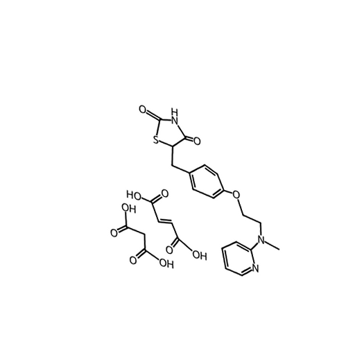 CN(CCOc1ccc(CC2SC(=O)NC2=O)cc1)c1ccccn1.O=C(O)C=CC(=O)O.O=C(O)CC(=O)O